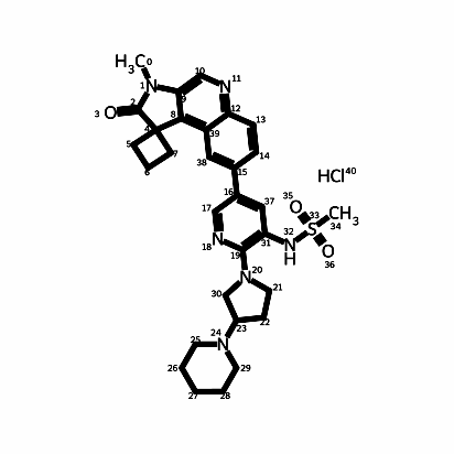 CN1C(=O)C2(CCC2)c2c1cnc1ccc(-c3cnc(N4CCC(N5CCCCC5)C4)c(NS(C)(=O)=O)c3)cc21.Cl